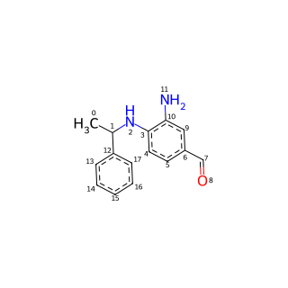 CC(Nc1ccc(C=O)cc1N)c1ccccc1